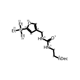 CCCCCCCCCCCCNC(=O)NCc1coc([Si](CC)(CC)CC)c1